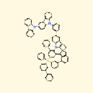 C1=CC23CC=Cc4c2n(c2ccc(-c5cccc(-n6c7ccccc7c7cc(-n8c9ccccc9c9ccccc98)ccc76)c5)cc42)-c2c(cc(S(c4ccccc4)(c4cccc(-c5ccccc5)c4)c4cccc(-c5ccccc5)c4)cc2-c2ccccc2)C3=C1